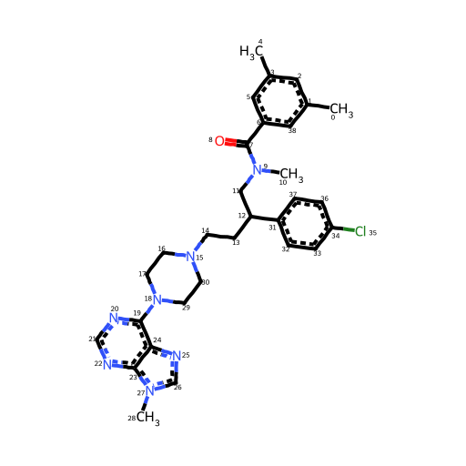 Cc1cc(C)cc(C(=O)N(C)CC(CCN2CCN(c3ncnc4c3ncn4C)CC2)c2ccc(Cl)cc2)c1